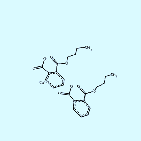 CCCCOC(=O)c1ccccc1C(=O)[O-].CCCCOC(=O)c1ccccc1C(=O)[O-].[Cu+2]